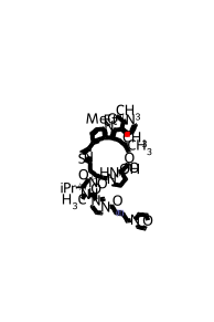 CCn1c(-c2cccnc2[C@H](C)OC)c2c3cc(ccc31)-c1csc(n1)C[C@H](NC(=O)[C@H](C(C)C)N(C)C(=O)N1CCCN(C(=O)/C=C/CN3CCOCC3)C1)C(=O)N1CCC[C@@](O)(N1)C(=O)OCC(C)(C)C2